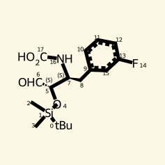 CC(C)(C)[Si](C)(C)O[C@H](C=O)[C@H](Cc1cccc(F)c1)NC(=O)O